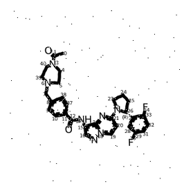 CC(=O)N1CCN(Cc2ccc(C(=O)Nc3cnn4ccc(N5CCC[C@@H]5c5cc(F)ccc5F)nc34)cc2)CC1